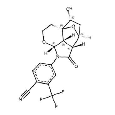 C[C@]12C[C@@H](O)[C@@]3(CCO[C@@H]4[C@H]3[C@H]1C(=O)N4c1ccc(C#N)c(C(F)(F)F)c1)O2